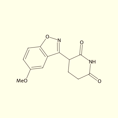 COc1ccc2onc(C3CCC(=O)NC3=O)c2c1